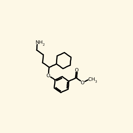 COC(=O)c1cccc(OC(CCCN)C2CCCCC2)c1